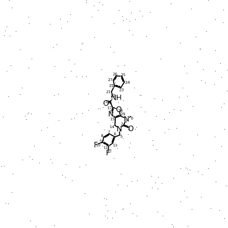 CN1C(=O)N(Cc2ccc(F)c(F)c2)Cc2nc(C(=O)NCc3ccccc3)oc21